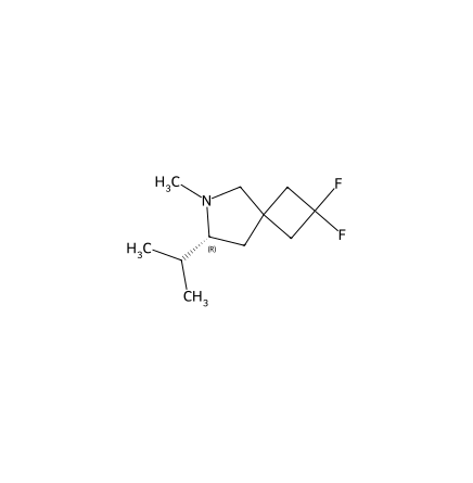 CC(C)[C@H]1CC2(CN1C)CC(F)(F)C2